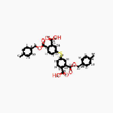 Cc1ccc(COC(=O)c2ccc(Sc3ccc(C(=O)O)c(C(=O)OCc4ccc(C)cc4)c3)cc2C(=O)O)cc1